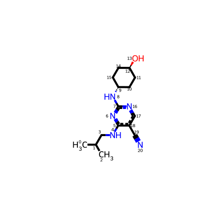 CC(C)CNc1nc(N[C@H]2CC[C@H](O)CC2)ncc1C#N